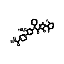 CCNC(=O)N1CCN(c2ccc(N(C(=O)n3nnn(-c4c(F)cccc4F)c3=O)C3CCCCC3)cc2C(=O)O)CC1